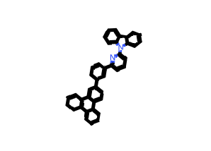 C1=Cc2c(c3ccccc3c3ccc(C4C=C(c5cccc(-n6c7ccccc7c7ccccc76)n5)C=CC4)cc23)CC1